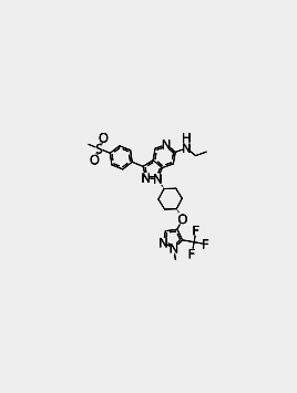 CCNc1cc2c(cn1)c(-c1ccc(S(C)(=O)=O)cc1)nn2[C@H]1CC[C@@H](Oc2cnn(C)c2C(F)(F)F)CC1